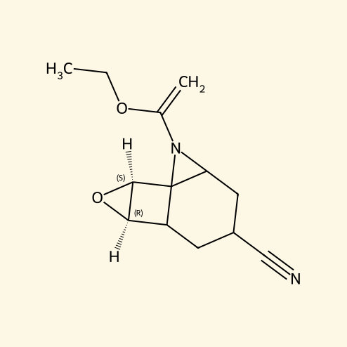 C=C(OCC)N1C2CC(C#N)CC3[C@H]4O[C@H]4C321